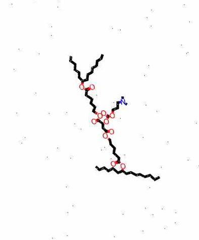 CCCCCCCCC(CCCCCC)OC(=O)CCCCCOC(=O)CC(OC(=O)OCCCN(C)C)C(=O)OCCCCCC(=O)OC(CCCCCC)CCCCCCCC